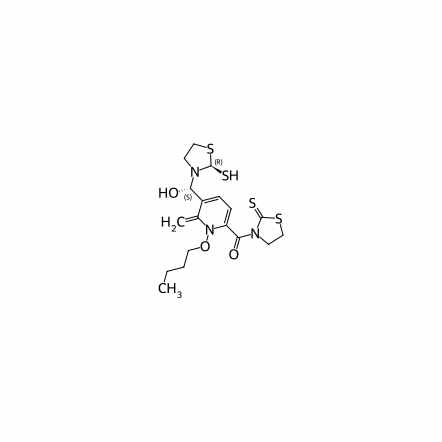 C=C1C([C@H](O)N2CCS[C@H]2S)=CC=C(C(=O)N2CCSC2=S)N1OCCCC